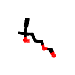 C#CC(C)(O)CCCOC=O